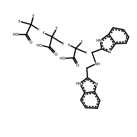 O=C(O)C(F)(F)F.O=C(O)C(F)(F)F.O=C(O)C(F)(F)F.c1ccc2[nH]c(CNCc3nc4ccccc4[nH]3)nc2c1